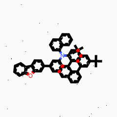 CC(C)(C)c1cc(-c2cccc3cccc(-c4ccccc4N(c4cccc(-c5ccc6c(c5)oc5ccccc56)c4)c4cccc5ccccc45)c23)cc(C(C)(C)C)c1